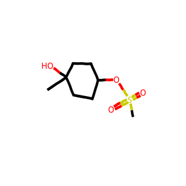 CC1(O)CCC(OS(C)(=O)=O)CC1